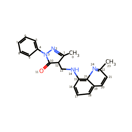 CC1=NN(c2ccccc2)C(=O)C1CNc1cccc2ccc(C)nc12